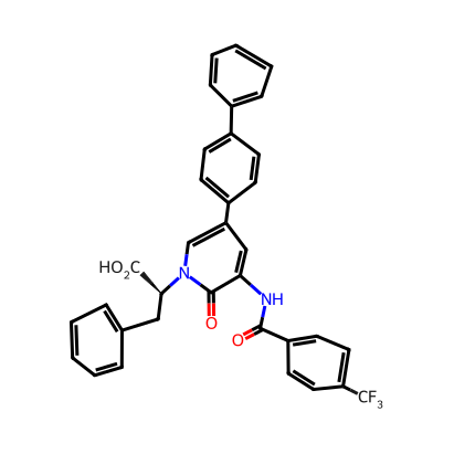 O=C(Nc1cc(-c2ccc(-c3ccccc3)cc2)cn([C@@H](Cc2ccccc2)C(=O)O)c1=O)c1ccc(C(F)(F)F)cc1